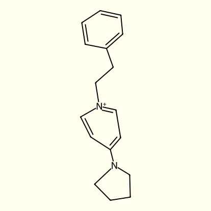 c1ccc(CC[n+]2ccc(N3CCCC3)cc2)cc1